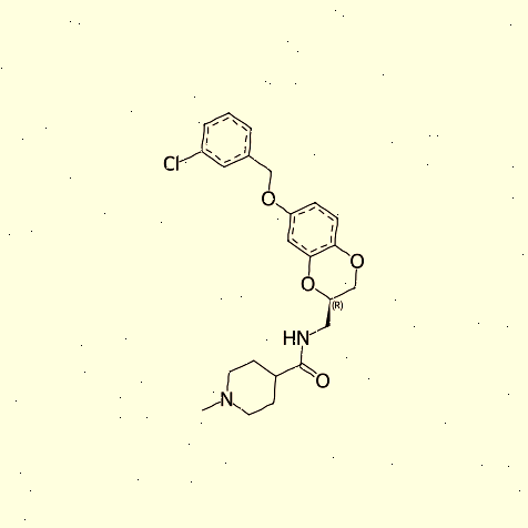 CN1CCC(C(=O)NC[C@@H]2COc3ccc(OCc4cccc(Cl)c4)cc3O2)CC1